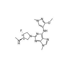 CN[C@@H]1CN(c2nc(Nc3cn(C)nc3OC)c3ncn(C)c3n2)C[C@H]1F